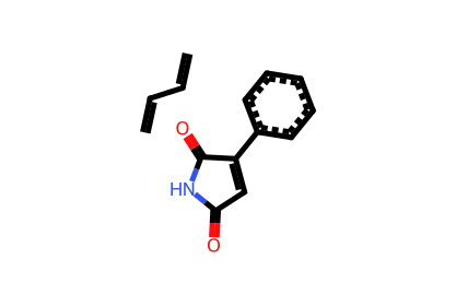 C=CC=C.O=C1C=C(c2ccccc2)C(=O)N1